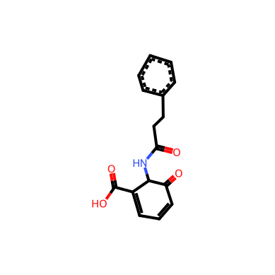 O=C(CCc1ccccc1)NC1C(=O)C=CC=C1C(=O)O